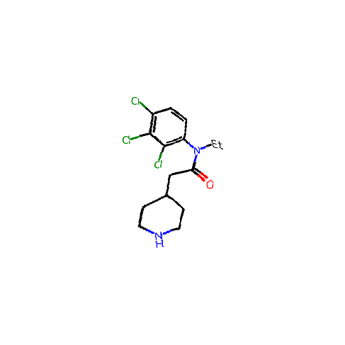 CCN(C(=O)CC1CCNCC1)c1ccc(Cl)c(Cl)c1Cl